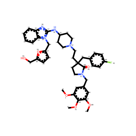 COc1cc(CN2CCC(CCN3CCC(Nc4nc5ccccc5n4Cc4ccc(CO)o4)CC3)(Cc3ccc(F)cc3)C2=O)cc(OC)c1OC